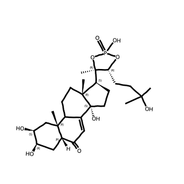 CC(C)(O)CC[C@H]1OP(=O)(O)O[C@]1(C)[C@H]1CC[C@@]2(O)C3=CC(=O)[C@@H]4C[C@@H](O)[C@@H](O)C[C@]4(C)C3CC[C@]12C